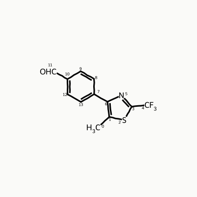 Cc1sc(C(F)(F)F)nc1-c1ccc(C=O)cc1